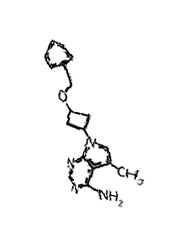 Cc1cn(C2CC(OCc3ccccc3)C2)c2ncnc(N)c12